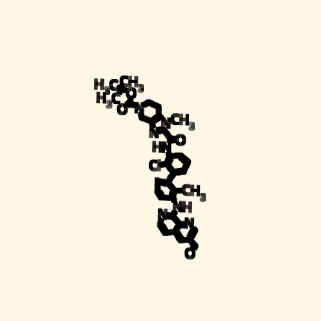 Cc1c(Nc2nccc3cc(C=O)cnc23)cccc1-c1cccc(NC(=O)c2nc3c(n2C)CCN(C(=O)OC(C)(C)C)C3)c1Cl